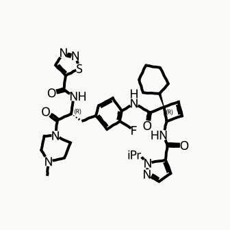 CC(C)n1nccc1C(=O)NC1C=C[C@]1(C(=O)Nc1ccc(C[C@@H](NC(=O)c2cnns2)C(=O)N2CCN(C)CC2)cc1F)C1CCCCC1